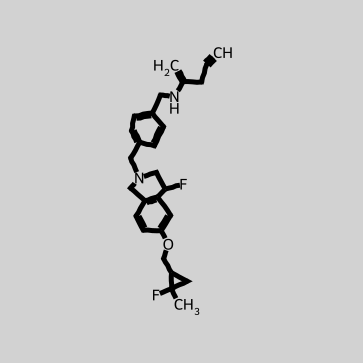 C#CCC(=C)NCc1ccc(CN2Cc3ccc(OCC4CC4(C)F)cc3C(F)C2)cc1